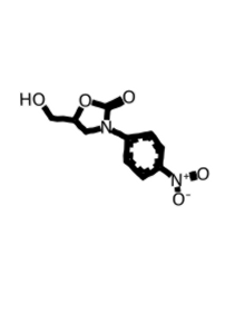 O=C1OC(CO)CN1c1ccc([N+](=O)[O-])cc1